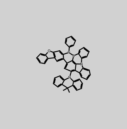 CC1(C)c2ccccc2N(c2cc3c4c5c2c2ccccc2n5-c2ccccc2B4N(c2ccccc2)c2cc4oc5ccccc5c4cc2-3)c2ccccc21